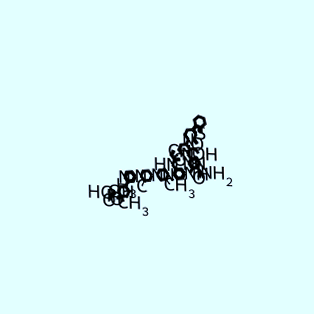 C=CC(=O)Nc1cc(Nc2nc(N3CCCC(N4CCc5c(sc6c5CCCC6)C4=O)C3CO)cnc2C(N)=O)ccc1N1CCN(C2CCN(c3ccnc(C4CCC(C)(OP(=O)(O)O)CC4)c3)[C@H](C)C2)C[C@@H]1C